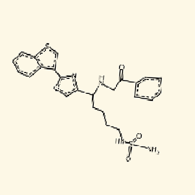 NS(=O)(=O)NCCCCC(NCC(=O)c1ccccc1)c1csc(-c2csc3ccccc23)n1